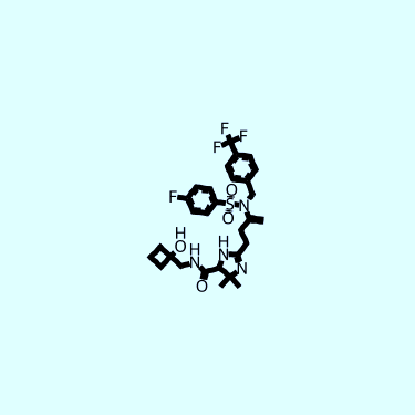 C=C(CCC1=NC(C)(C)C(C(=O)NCC2(O)CCC2)N1)N(Cc1ccc(C(F)(F)F)cc1)S(=O)(=O)c1ccc(F)cc1